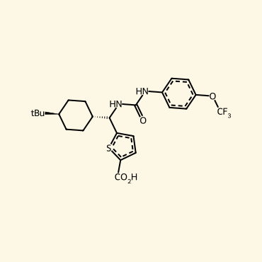 CC(C)(C)[C@H]1CC[C@H](C(NC(=O)Nc2ccc(OC(F)(F)F)cc2)c2ccc(C(=O)O)s2)CC1